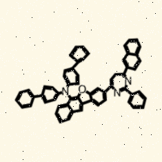 C1=C(c2ccc3c(c2)oc2c(N(c4ccc(-c5ccccc5)cc4)c4ccc(-c5ccccc5)cc4)c4ccccc4cc23)N=C(c2ccccc2)N=C(c2ccc3ccccc3c2)C1